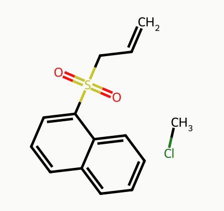 C=CCS(=O)(=O)c1cccc2ccccc12.CCl